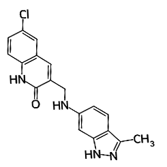 Cc1n[nH]c2cc(NCc3cc4cc(Cl)ccc4[nH]c3=O)ccc12